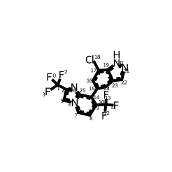 FC(F)(F)c1cn2ccc(C(F)(F)F)c(-c3cc(Cl)c4[nH]ncc4c3)c2n1